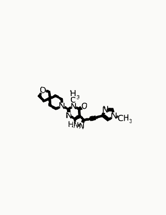 Cn1cnc(C#Cc2n[nH]c3nc(N4CCC5(CCOC5)CC4)n(C)c(=O)c23)c1